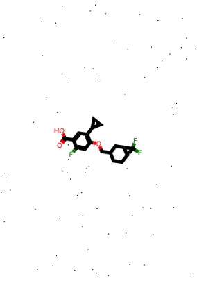 O=C(O)c1cc(C2CC2)c(OCC2CCC3C(C2)C3(F)F)cc1F